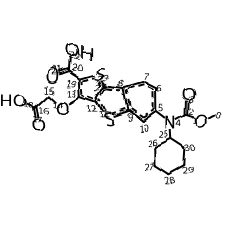 COC(=O)N(c1ccc2c(c1)sc1c(OCC(=O)O)c(C(=O)O)sc12)C1CCCCC1